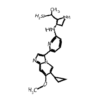 COc1cc2ncc(-c3cccc(N[C@@H]4CNC4C(C)[SiH3])n3)n2cc1C1CC1